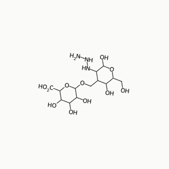 NNNC1C(O)OC(CO)C(O)C1COC1OC(C(=O)O)C(O)C(O)C1O